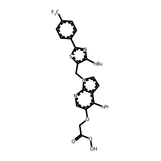 CCCCc1nc(-c2ccc(C(F)(F)F)cc2)sc1Cn1ccc2c(CCC)c(OCC(=O)OO)cnc21